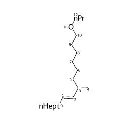 CCCCCCC/C=C/C(C)CCCCCCOCCC